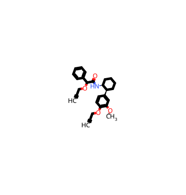 C#CCOc1ccc([C@@H]2CCCC[C@H]2NC(=O)C(OCC#C)c2ccccc2)cc1OC